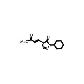 COC(=O)/C=C/n1nnn(C2CCCCC2)c1=O